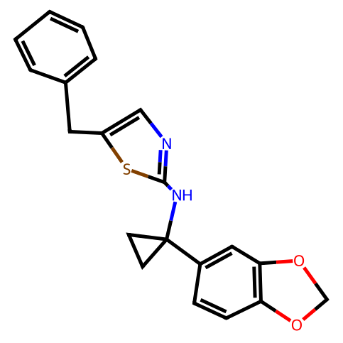 c1ccc(Cc2cnc(NC3(c4ccc5c(c4)OCO5)CC3)s2)cc1